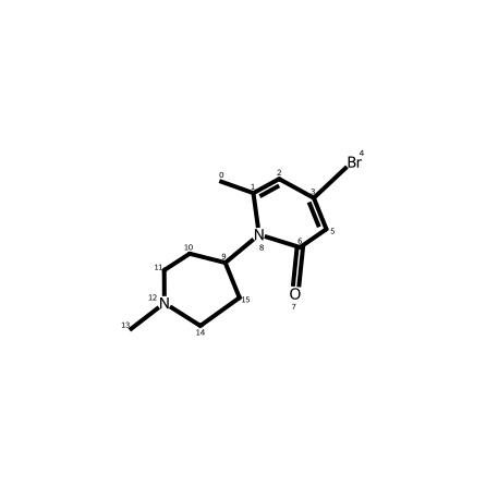 Cc1cc(Br)cc(=O)n1C1CCN(C)CC1